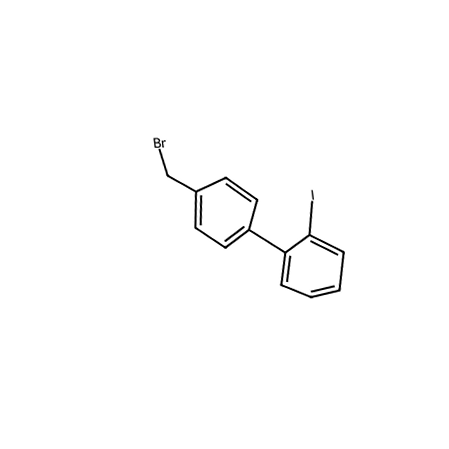 BrCc1ccc(-c2ccccc2I)cc1